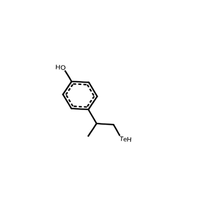 CC(C[TeH])c1ccc(O)cc1